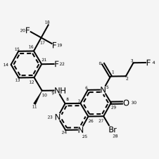 C=C(CCF)n1cc2c(N[C@@H](C)c3cccc(C(C)(F)F)c3F)ncnc2c(Br)c1=O